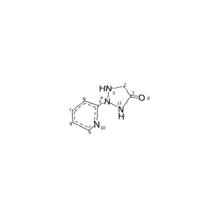 O=C1CNN(c2ccccn2)N1